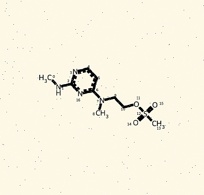 CNc1nccc(N(C)CCOS(C)(=O)=O)n1